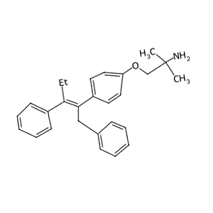 CCC(=C(Cc1ccccc1)c1ccc(OCC(C)(C)N)cc1)c1ccccc1